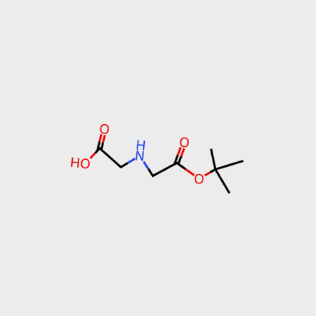 CC(C)(C)OC(=O)CNCC(=O)O